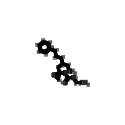 CCOC(=O)OC1(CC(CC)CCCc2ccccc2)CO1